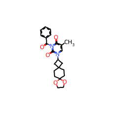 Cc1cn(C2CC3(CCC4(CC3)OCCO4)C2)c(=O)n(C(=O)c2ccccc2)c1=O